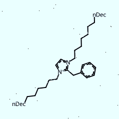 CCCCCCCCCCCCCCCCCn1cc[n+](CCCCCCCCCCCCCCCC)c1Cc1ccccc1